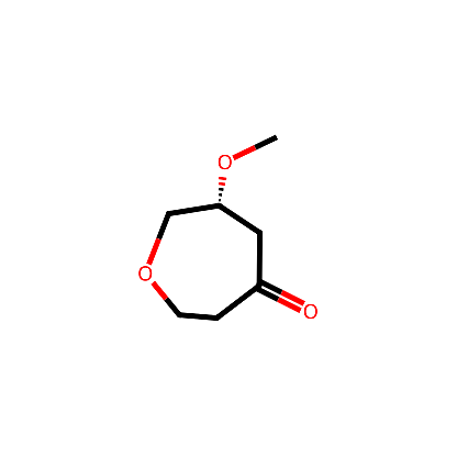 CO[C@H]1COCCC(=O)C1